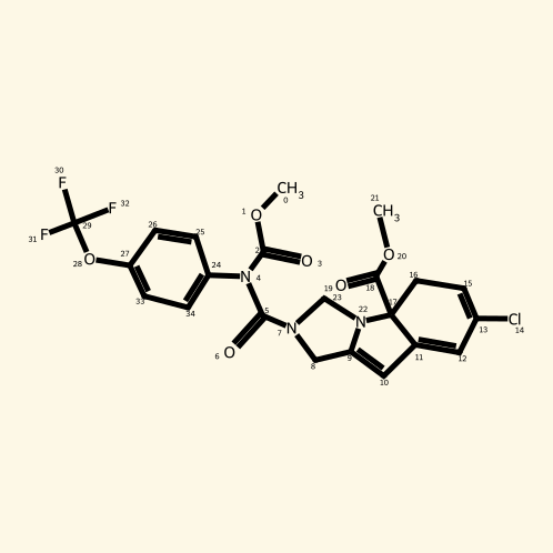 COC(=O)N(C(=O)N1CC2=CC3=CC(Cl)=CCC3(C(=O)OC)N2C1)c1ccc(OC(F)(F)F)cc1